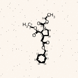 CCOC(=O)C1C(=CC(=O)OCc2ccccc2)CCN1C(=O)OCC